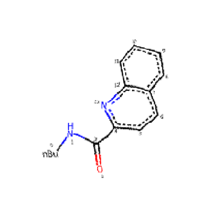 CCCCNC(=O)c1ccc2ccccc2n1